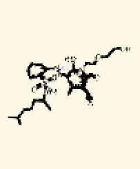 Cc1c(/N=N/c2ccccc2S(=O)(=O)NC(C)CCCC(C)C)c(O)n(CCOCCO)c(=O)c1C#N